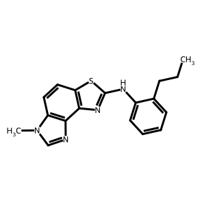 CCCc1ccccc1Nc1nc2c(ccc3c2ncn3C)s1